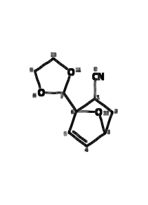 N#CC1CC2C=CC1(C1OCCO1)O2